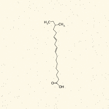 CCC(C)CCC=CCC=CCCCCCCCC(=O)O